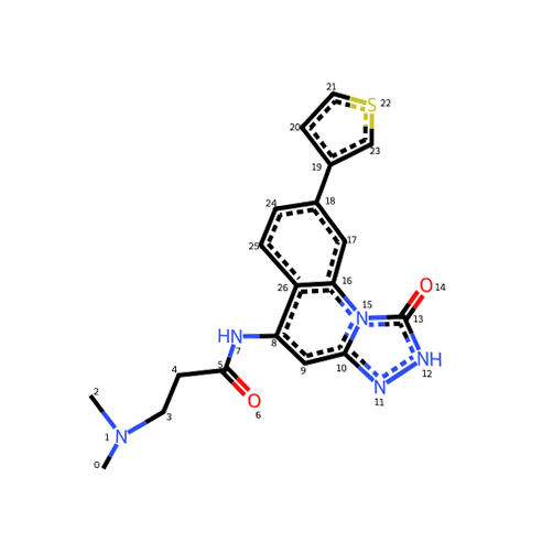 CN(C)CCC(=O)Nc1cc2n[nH]c(=O)n2c2cc(-c3ccsc3)ccc12